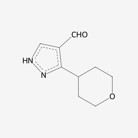 O=Cc1c[nH]nc1C1CCOCC1